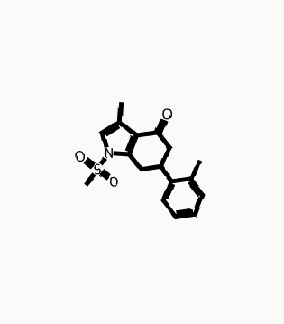 Cc1ccccc1C1CC(=O)c2c(C)cn(S(C)(=O)=O)c2C1